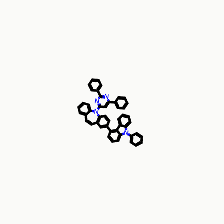 C1=Cc2cc(-c3cccc4c3c3ccccc3n4-c3ccccc3)ccc2N(c2cc(-c3ccccc3)nc(-c3ccccc3)n2)c2ccccc21